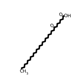 CCCCCCCCCCCCCCCCCCCCCCCC(=O)CCCCCC(=O)O